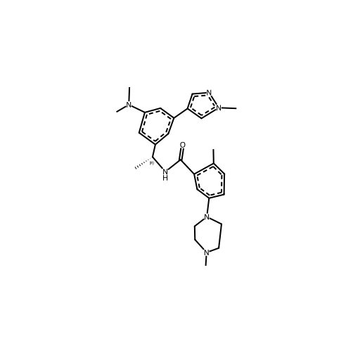 Cc1ccc(N2CCN(C)CC2)cc1C(=O)N[C@H](C)c1cc(-c2cnn(C)c2)cc(N(C)C)c1